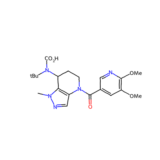 COc1cc(C(=O)N2CCC(N(C(=O)O)C(C)(C)C)c3c2cnn3C)cnc1OC